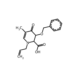 C=CCN1C=C(C)C(=O)C(OCc2ccccc2)C1C(=O)O